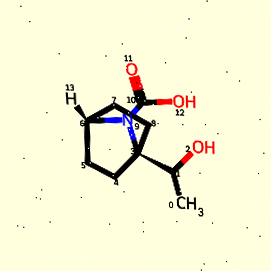 CC(O)[C@]12CC[C@H](CC1)N2C(=O)O